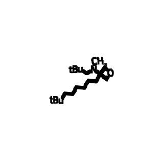 CN(CC(C)(C)C)C1(CCCCCCC(C)(C)C)COC1